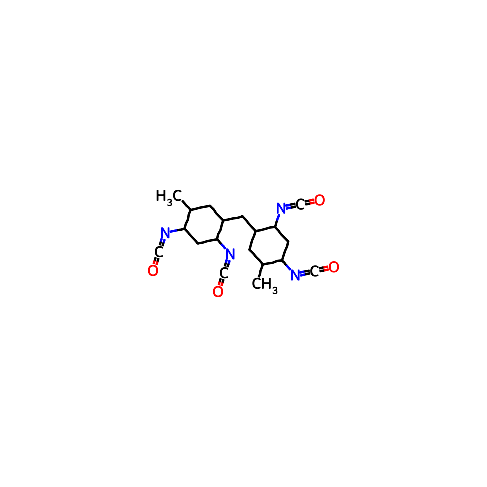 CC1CC(CC2CC(C)C(N=C=O)CC2N=C=O)C(N=C=O)CC1N=C=O